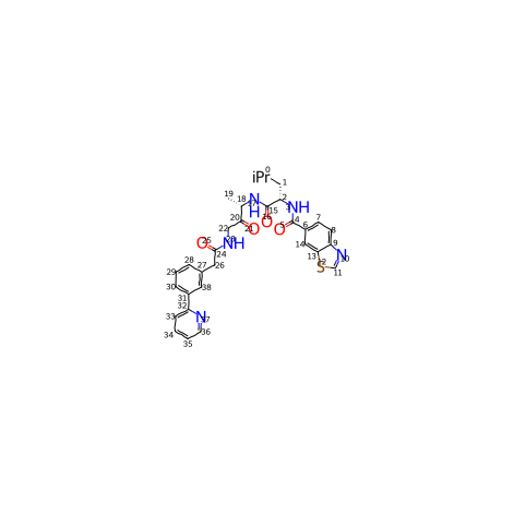 CC(C)C[C@H](NC(=O)c1ccc2ncsc2c1)C(=O)N[C@@H](C)C(=O)CNC(=O)Cc1cccc(-c2ccccn2)c1